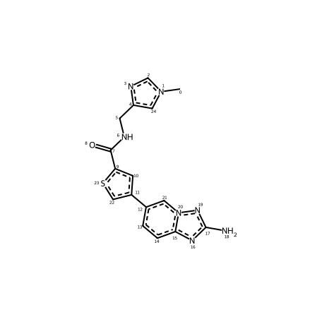 Cn1cnc(CNC(=O)c2cc(-c3ccc4nc(N)nn4c3)cs2)c1